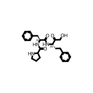 O=C(N[C@@H](Cc1ccccc1)C(=O)N[C@@H](CCc1ccccc1)C(=O)CO)C1CCCN1